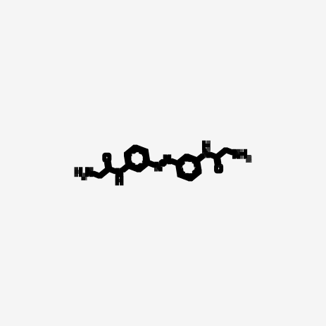 NCC(=O)Nc1cccc(/N=N/c2cccc(NC(=O)CN)c2)c1